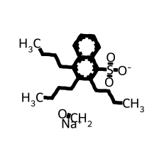 C=O.CCCCc1c(CCCC)c(S(=O)(=O)[O-])c2ccccc2c1CCCC.[Na+]